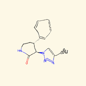 CCCCc1cn([C@H]2C(=O)NC[C@@H]2c2ccccc2)nn1